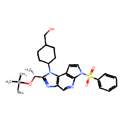 C[C@@H](O[Si](C)(C)C(C)(C)C)c1nc2cnc3c(ccn3S(=O)(=O)c3ccccc3)c2n1C1CCC(CO)CC1